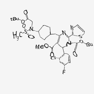 COC(=O)C1=C(C2CCC(N(CC(=O)OC(C)(C)C)S(C)(=O)=O)CC2)N=C(c2nccs2)N(C(=O)OC(C)(C)C)C1c1ccc(F)cc1Cl